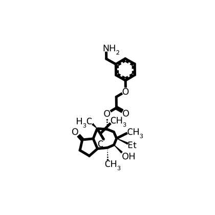 CC[C@]1(C)C[C@@H](OC(=O)COc2cccc(CN)c2)[C@]2(C)C(C)CCC3(CCC(=O)C32)[C@@H](C)[C@@H]1O